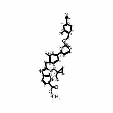 COC(=O)c1ccc2nc(Cc3ccc(-c4ccnc(OCc5ccc(C#N)cc5F)n4)cc3F)n(CC3(CF)CC3)c2n1